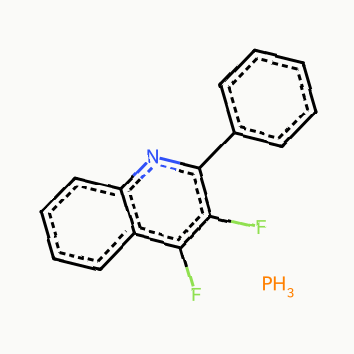 Fc1c(-c2ccccc2)nc2ccccc2c1F.P